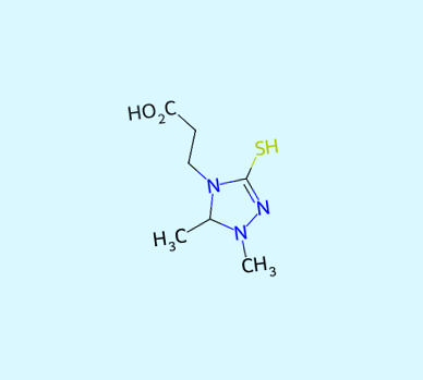 CC1N(C)N=C(S)N1CCC(=O)O